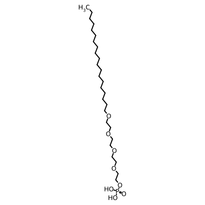 CCCCCCCCCCCCCCCCCCCOCCOCCOCCOCCOP(=O)(O)O